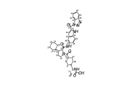 O=C(O)N[C@H](CF)C1CCC(C(=O)N2CC[C@@H](C3CCCCC3)[C@H]2C(=O)Nc2ccc3[nH]c(C(=O)n4nnc5ccccc54)cc3c2)CC1